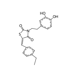 CCc1ccc(C=C2SC(=O)N(CCc3ccc(O)c(O)c3)C2=O)cc1